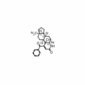 C[C@@]12CCC[C@H]1[C@@H]1CC[C@H]3NC(=O)C=C(C(=O)c4ccccc4)[C@]3(C)[C@H]1CC2